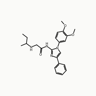 CCC(C)NCC(=O)Nc1nc(-c2ccccc2)cn1-c1ccc(OC)c(OC)c1